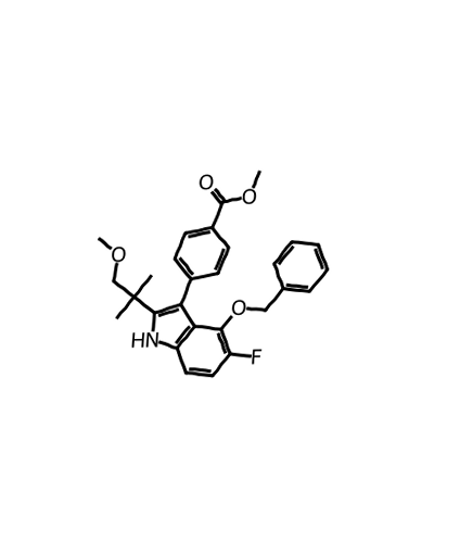 COCC(C)(C)c1[nH]c2ccc(F)c(OCc3ccccc3)c2c1-c1ccc(C(=O)OC)cc1